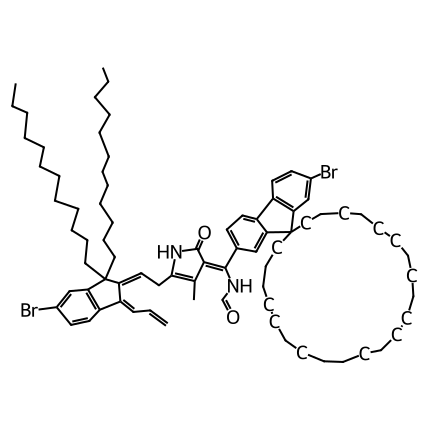 C=C/C=C1\C(=C/CC2=C(C)/C(=C(\NC=O)c3ccc4c(c3)C3(CCCCCCCCCCCCCCCCCCCCCC3)c3cc(Br)ccc3-4)C(=O)N2)C(CCCCCCCCCCCC)(CCCCCCCCCCCC)c2cc(Br)ccc21